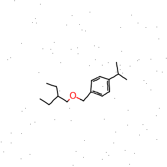 CCC(CC)COCc1ccc(C(C)C)cc1